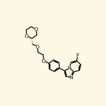 Fc1ccc2ncc(-c3ccc(OCCOC[C@H]4COCCO4)cc3)n2c1